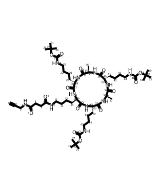 C#CCNC(=O)CCC(=O)NCCCC[C@H]1NC(=O)[C@H](CCCCNC(=O)OC(C)(C)C)NC(=O)[C@@H](C)NC(=O)[C@H](CCCCNC(=O)OC(C)(C)C)NC(=O)[C@@H](C)NC(=O)[C@H](CCCCNC(=O)OC(C)(C)C)NC1=O